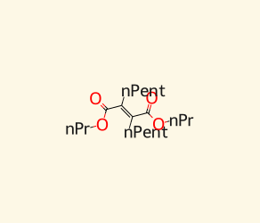 CCCCCC(C(=O)OCCC)=C(CCCCC)C(=O)OCCC